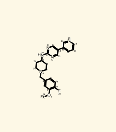 CCOc1cc(CN2CCC(Nc3ncc(-c4cccnc4)cn3)CC2)ccc1F